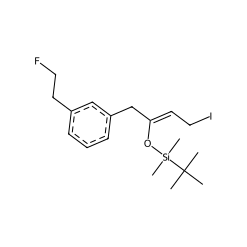 CC(C)(C)[Si](C)(C)OC(=CCI)Cc1cccc(CCF)c1